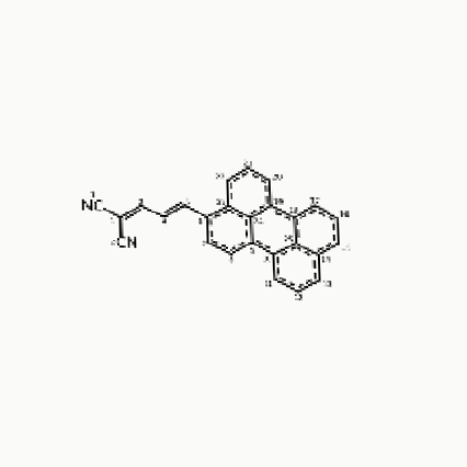 N#CC(C#N)=C/C=C/c1ccc2c3cccc4cccc(c5cccc1c52)c43